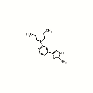 CCCN(CCC)c1cc(-c2c[nH]c(N)n2)ccn1